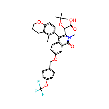 Cc1c(-c2c(C(OC(C)(C)C)C(=O)O)n(C)c(=O)c3cc(OCc4ccc(OC(F)(F)F)cc4)ccc23)ccc2c1CCCO2